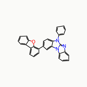 c1ccc(-n2c3ccc(-c4cccc5c4oc4ccccc45)cc3n3c4ccccc4nc23)cc1